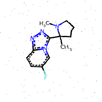 CN1CCCC1(C)c1nnc2ccc(F)cn12